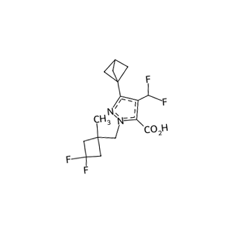 CC1(Cn2nc(C34CC(C3)C4)c(C(F)F)c2C(=O)O)CC(F)(F)C1